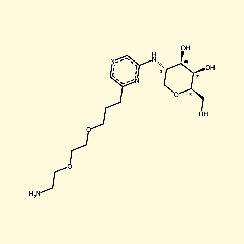 NCCOCCOCCCc1cncc(N[C@H]2CO[C@H](CO)[C@H](O)[C@@H]2O)n1